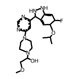 COCC(O)N1CCN(c2cc(C3NNC4=CC(F)C(OC(C)C)C=C43)ncn2)CC1